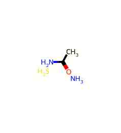 CC(N)=O.N.S